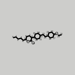 CCCCCC1CCC(C2CCC(CCC3CCC(OCC)CC3)CC2)C(=O)O1